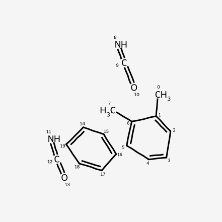 Cc1ccccc1C.N=C=O.N=C=O.c1ccccc1